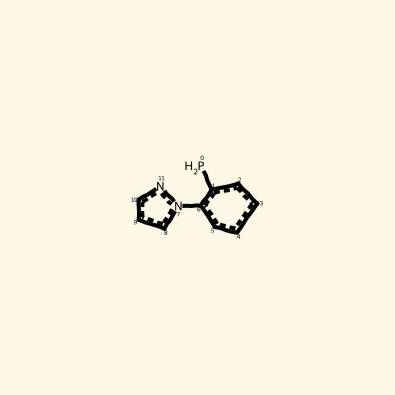 Pc1ccccc1-n1cccn1